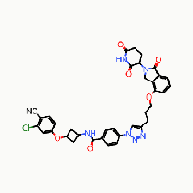 N#Cc1ccc(OC2CC(NC(=O)c3ccc(-n4cc(CCCOc5cccc6c5CN(C5CCC(=O)NC5=O)C6=O)nn4)cc3)C2)cc1Cl